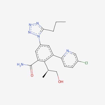 CCCc1nnnn1-c1cc(C(N)=O)c([C@H](C)CO)c(-c2ccc(Cl)cn2)c1